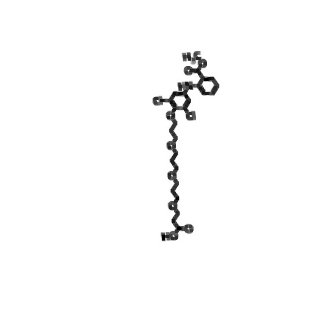 COC(=O)c1ccccc1Nc1cc(Cl)c(OCCCOCCCOCCCOCCC(=O)O)c(Cl)c1